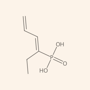 C=C/C=C(\CC)P(=O)(O)O